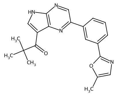 Cc1cnc(-c2cccc(-c3cnc4[nH]cc(C(=O)C(C)(C)C)c4n3)c2)o1